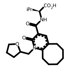 CC(C)[C@H](NC(=O)c1cc2c(n(CC3CCCO3)c1=O)CCCCCC2)C(=O)O